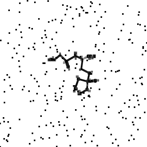 CCCCCCCCCCCC(=O)N[C@@H](COP(=O)(OCC)OCC)C(=O)O